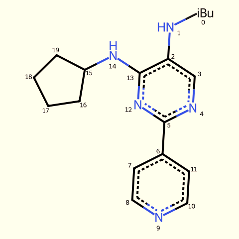 CCC(C)Nc1cnc(-c2ccncc2)nc1NC1CCCC1